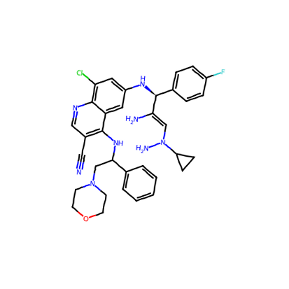 N#Cc1cnc2c(Cl)cc(N[C@H](/C(N)=C/N(N)C3CC3)c3ccc(F)cc3)cc2c1NC(CN1CCOCC1)c1ccccc1